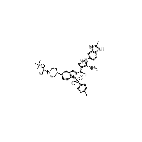 Cc1ccc(S(=O)(=O)n2c(C(=O)c3cnn(-c4ccc5[nH]c(C)nc5c4)c3N)cc3cc(C4CCN(C(=O)OC(C)(C)C)CC4)ccc32)cc1